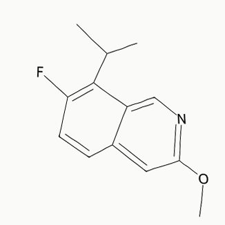 COc1cc2ccc(F)c(C(C)C)c2cn1